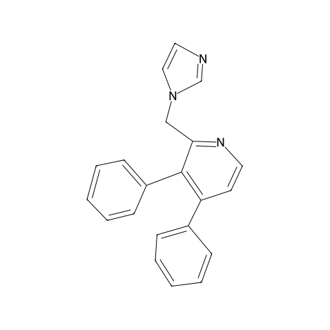 c1ccc(-c2ccnc(Cn3ccnc3)c2-c2ccccc2)cc1